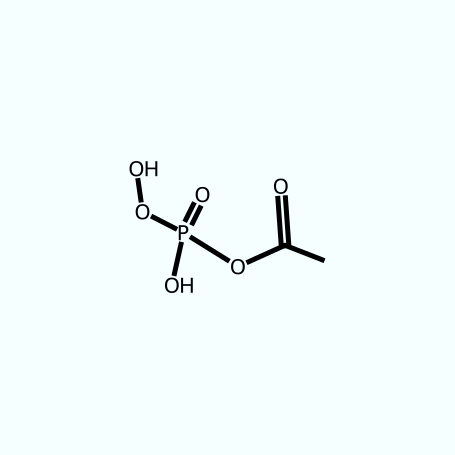 CC(=O)OP(=O)(O)OO